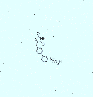 O=C(O)Nc1cccc(-c2ccc(CC3SC(=O)NC3=O)cc2)c1